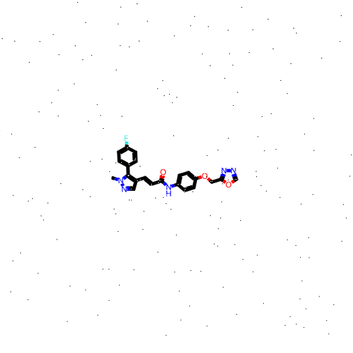 Cn1ncc(C=CC(=O)Nc2ccc(OCc3nnco3)cc2)c1-c1ccc(F)cc1